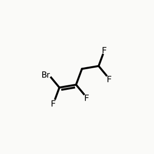 FC(Br)=C(F)CC(F)F